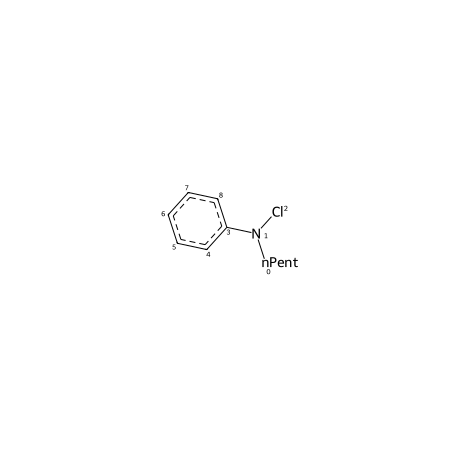 CCCCCN(Cl)c1ccccc1